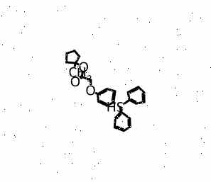 CC1(OC(=O)COc2ccc([SH](c3ccccc3)c3ccccc3)cc2)CCCC1